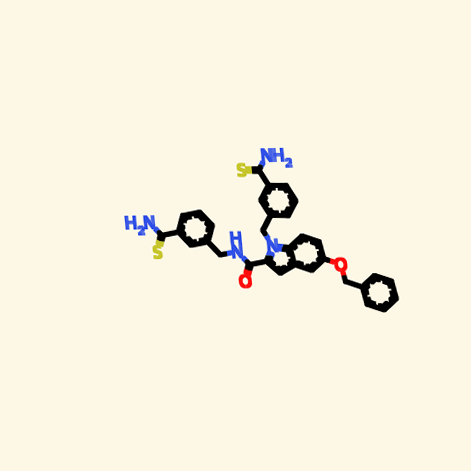 NC(=S)c1cccc(CNC(=O)c2cc3cc(OCc4ccccc4)ccc3n2Cc2cccc(C(N)=S)c2)c1